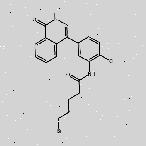 O=C(CCCCBr)Nc1cc(-c2n[nH]c(=O)c3ccccc23)ccc1Cl